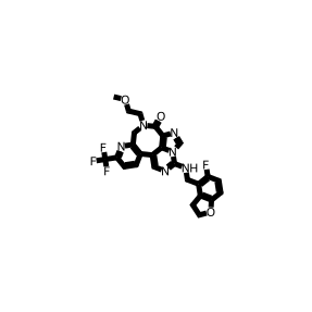 COCCN1Cc2nc(C(F)(F)F)ccc2-c2cnc(NCc3c(F)ccc4c3CCO4)n3cnc(c23)C1=O